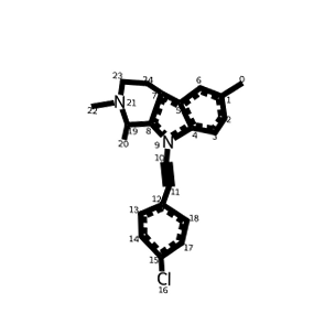 Cc1ccc2c(c1)c1c(n2C#Cc2ccc(Cl)cc2)C(C)N(C)CC1